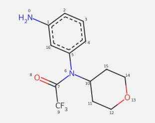 Nc1cc[c]c(N(C(=O)C(F)(F)F)C2CCOCC2)c1